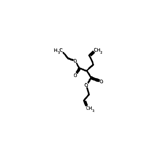 C=CCOC(=O)C(CC=C)C(=O)OCC